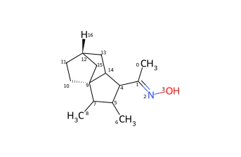 CC(=NO)C1C(C)C(C)[C@]23CC[C@H](CC12)C3